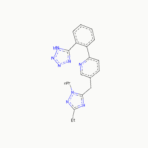 CCCn1nc(CC)nc1Cc1ccc(-c2ccccc2-c2nnn[nH]2)nc1